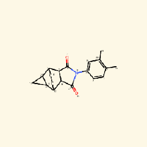 Cc1ccc(N2C(=O)C3C4CCC(C5CC54)C3C2=O)cc1C